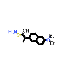 CCN(CC)c1ccc2cc(/C(C)=C(\C#N)SN)ccc2c1